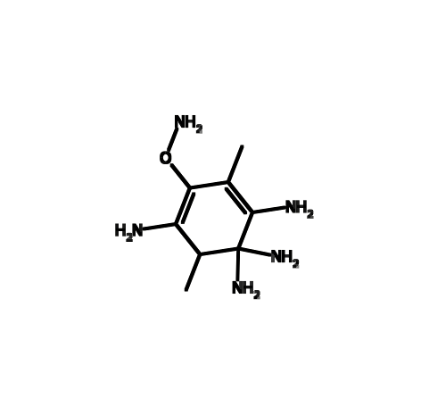 CC1=C(N)C(N)(N)C(C)C(N)=C1ON